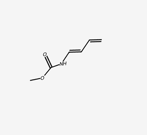 C=C/C=C/NC(=O)OC